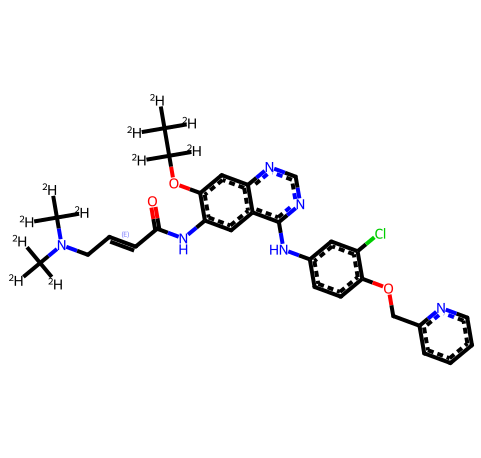 [2H]C([2H])([2H])N(C/C=C/C(=O)Nc1cc2c(Nc3ccc(OCc4ccccn4)c(Cl)c3)ncnc2cc1OC([2H])([2H])C([2H])([2H])[2H])C([2H])([2H])[2H]